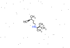 C#CC(C)CCCNC(C)=C(C)C